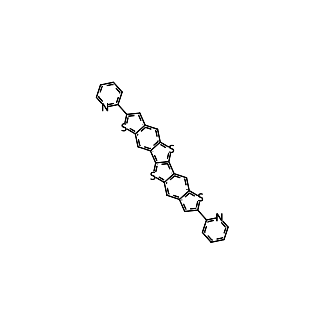 c1ccc(-c2cc3cc4sc5c6cc7sc(-c8ccccn8)cc7cc6sc5c4cc3s2)nc1